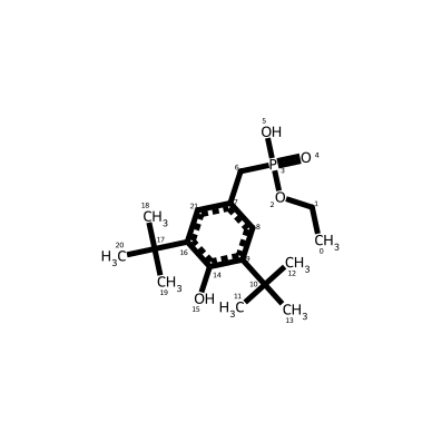 CCOP(=O)(O)Cc1cc(C(C)(C)C)c(O)c(C(C)(C)C)c1